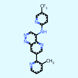 Cc1cccnc1-c1cnc2c(Nc3ccc(C(F)(F)F)cn3)cnnc2c1